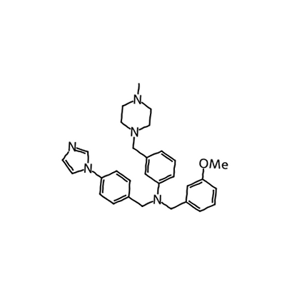 COc1cccc(CN(Cc2ccc(-n3ccnc3)cc2)c2cccc(CN3CCN(C)CC3)c2)c1